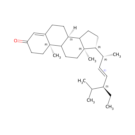 CC[C@H](/C=C/[C@@H](C)[C@H]1CCC2[C@@H]3CCC4=CC(=O)CC[C@]4(C)C3CC[C@@]21C)C(C)C